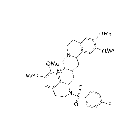 CCC1CN2CCc3cc(OC)c(OC)cc3C2CC1CC1c2cc(OC)c(OC)cc2CCN1S(=O)(=O)c1ccc(F)cc1